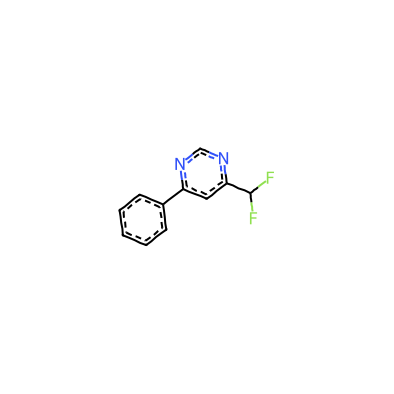 FC(F)c1cc(-c2ccccc2)ncn1